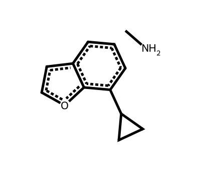 CN.c1cc(C2CC2)c2occc2c1